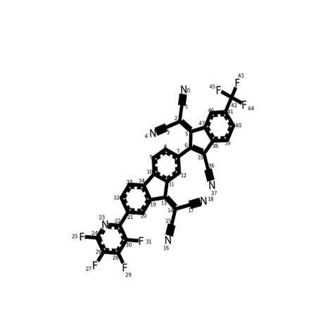 N#CC(C#N)=C1C(c2ccc3c(c2)C(=C(C#N)C#N)c2cc(-c4nc(F)c(F)c(F)c4F)ccc2-3)=C(C#N)c2ccc(C(F)(F)F)cc21